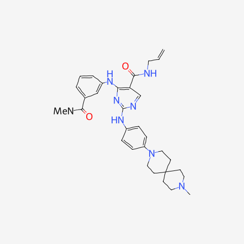 C=CCNC(=O)c1cnc(Nc2ccc(N3CCC4(CCN(C)CC4)CC3)cc2)nc1Nc1cccc(C(=O)NC)c1